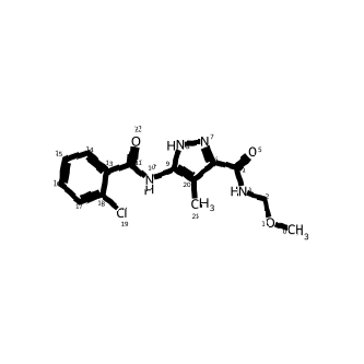 COCNC(=O)c1n[nH]c(NC(=O)c2ccccc2Cl)c1C